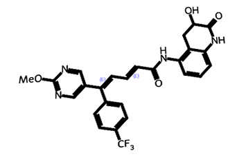 COc1ncc(/C(=C/C=C/C(=O)Nc2cccc3c2CC(O)C(=O)N3)c2ccc(C(F)(F)F)cc2)cn1